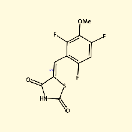 COc1c(F)cc(F)c(/C=C2\SC(=O)NC2=O)c1F